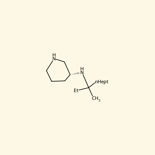 CCCCCCCC(C)(CC)N[C@@H]1CCCNC1